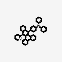 c1ccc(N(c2ccccc2)c2ccc(-c3c4ccccc4c(-c4ccccn4)c4c5ccccc5c5ccccc5c34)cc2)cc1